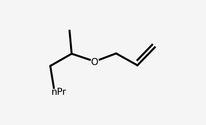 C=CCOC(C)CCCC